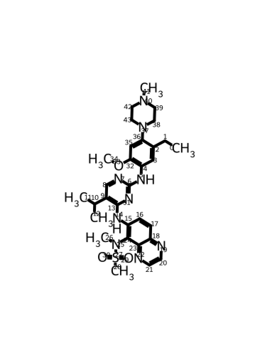 CCc1cc(Nc2ncc(C(C)C)c(Nc3ccc4nccnc4c3N(C)S(C)(=O)=O)n2)c(OC)cc1N1CCN(C)CC1